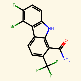 NC(=O)c1c(C(F)(F)F)ccc2c1[nH]c1ccc(F)c(Br)c12